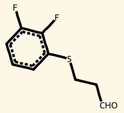 O=CCCSc1cccc(F)c1F